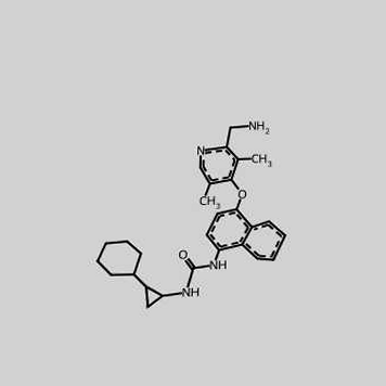 Cc1cnc(CN)c(C)c1Oc1ccc(NC(=O)NC2CC2C2CCCCC2)c2ccccc12